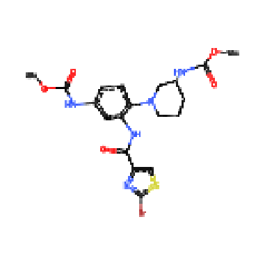 CC(C)(C)OC(=O)Nc1ccc(N2CCC[C@@H](NC(=O)OC(C)(C)C)C2)c(NC(=O)c2csc(Br)n2)c1